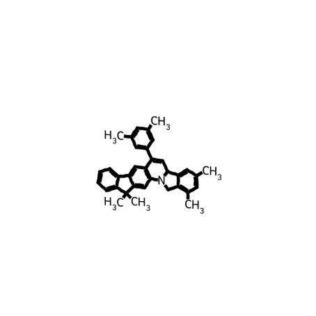 Cc1cc(C)cc(C2=CC3c4cc(C)cc(C)c4CN3c3cc4c(cc32)-c2ccccc2C4(C)C)c1